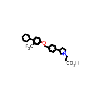 O=C(O)CCN1CCC(c2ccc(COc3ccc(C4CCCCC4)c(C(F)(F)F)c3)cc2)C1